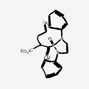 C=CCC(C(=C)P1(=O)N(c2ccccc2)CCN1c1ccccc1)C(=O)OCC